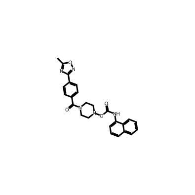 Cc1nc(-c2ccc(C(=O)N3CCN(OC(=O)Nc4cccc5ccccc45)CC3)cc2)no1